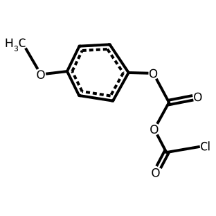 COc1ccc(OC(=O)OC(=O)Cl)cc1